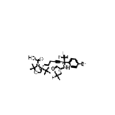 CC(C)(F)C[C@@H](C=O)N[C@@](C#CCCC[C@]1(C(C)(C)C)COC(C)(C)N1C(=O)O)(c1ccc(Br)cc1)C(F)(F)F